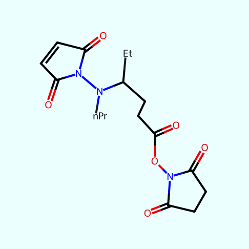 CCCN(C(CC)CCC(=O)ON1C(=O)CCC1=O)N1C(=O)C=CC1=O